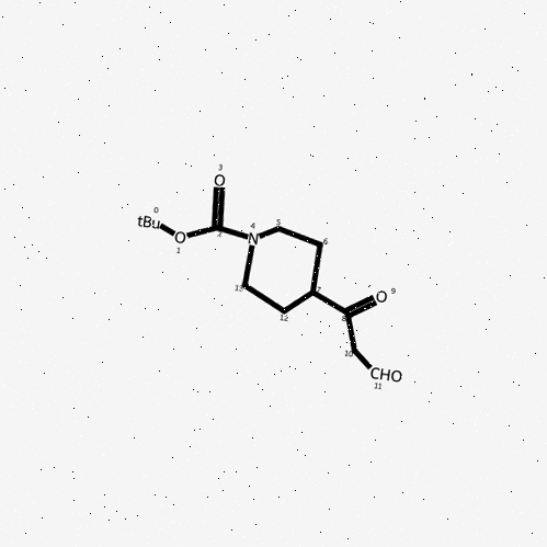 CC(C)(C)OC(=O)N1CCC(C(=O)CC=O)CC1